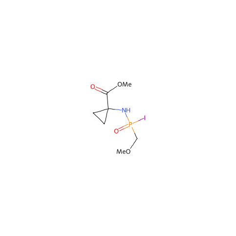 COCP(=O)(I)NC1(C(=O)OC)CC1